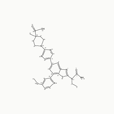 CCN(C(N)=O)c1nc2cc(-c3cnc(N4CCC(C)(C(=O)O)CC4)nc3)cc(-c3cc(OC)ccn3)c2s1